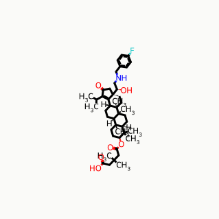 CC(C)C1=C2[C@H]3CC[C@@H]4[C@@]5(C)CC[C@H](OC(=O)CC(C)(C)CC(=O)O)C(C)(C)[C@@H]5CC[C@@]4(C)[C@]3(C)CC[C@@]2([C@@H](O)CNCc2ccc(F)cc2)CC1=O